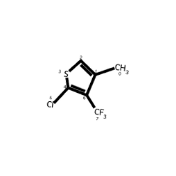 Cc1csc(Cl)c1C(F)(F)F